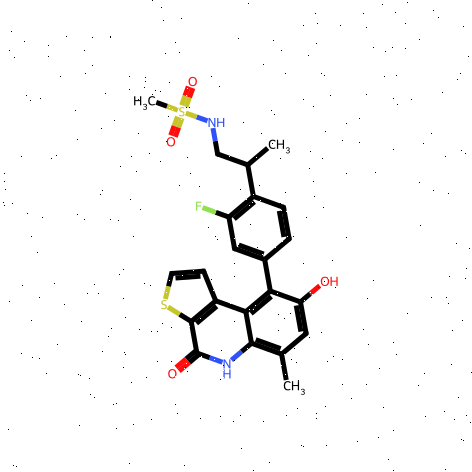 Cc1cc(O)c(-c2ccc(C(C)CNS(C)(=O)=O)c(F)c2)c2c1[nH]c(=O)c1sccc12